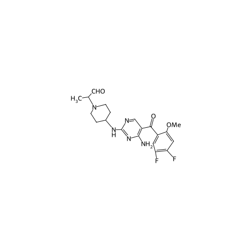 COc1cc(F)c(F)cc1C(=O)c1cnc(NC2CCN(C(C)C=O)CC2)nc1N